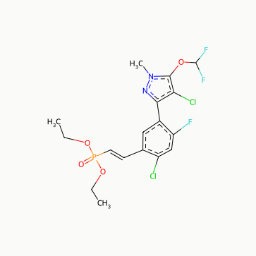 CCOP(=O)(C=Cc1cc(-c2nn(C)c(OC(F)F)c2Cl)c(F)cc1Cl)OCC